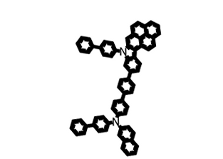 c1ccc(-c2ccc(N(c3ccc(-c4ccc(-c5ccc6c7c8ccc9cccc%10ccc(cc7n(-c7ccc(-c%11ccccc%11)cc7)c6c5)c8c%109)cc4)cc3)c3ccc4ccccc4c3)cc2)cc1